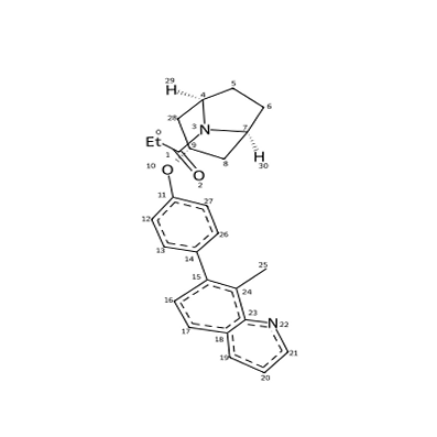 CCC(=O)N1[C@@H]2CC[C@H]1C[C@H](Oc1ccc(-c3ccc4cccnc4c3C)cc1)C2